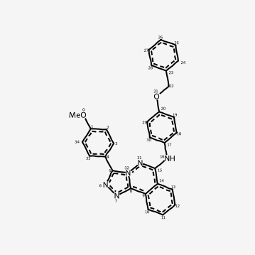 COc1ccc(-c2nnc3c4ccccc4c(Nc4ccc(OCc5ccccc5)cc4)nn23)cc1